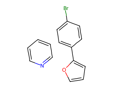 Brc1ccc(-c2ccco2)cc1.c1ccncc1